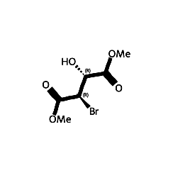 COC(=O)[C@@H](O)[C@@H](Br)C(=O)OC